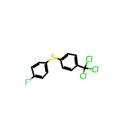 Fc1ccc(Sc2ccc(C(Cl)(Cl)Cl)cc2)cc1